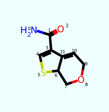 NC(=O)C1=CSC2COCC=C12